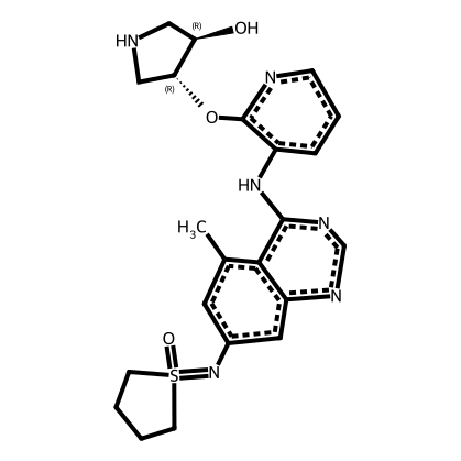 Cc1cc(N=S2(=O)CCCC2)cc2ncnc(Nc3cccnc3O[C@@H]3CNC[C@H]3O)c12